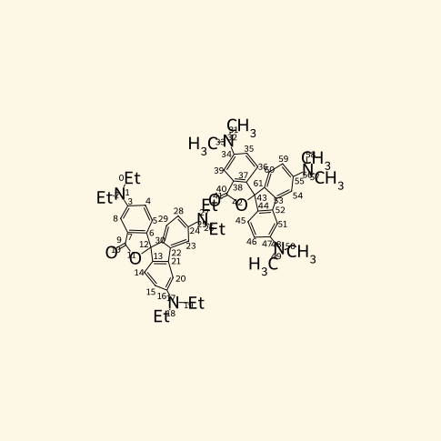 CCN(CC)c1ccc2c(c1)C(=O)OC21c2ccc(N(CC)CC)cc2-c2cc(N(CC)CC)ccc21.CN(C)c1ccc2c(c1)C(=O)OC21c2ccc(N(C)C)cc2-c2cc(N(C)C)ccc21